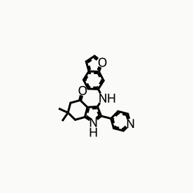 CC1(C)CC(=O)c2c([nH]c(-c3ccncc3)c2Nc2ccc3ccoc3c2)C1